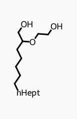 CCCCCCCCCCCCC(CO)OCCO